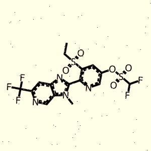 CCS(=O)(=O)c1cc(OS(=O)(=O)C(F)F)cnc1-c1nc2cc(C(F)(F)F)ncc2n1C